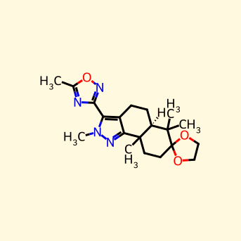 Cc1nc(-c2c3c(nn2C)C2(C)CCC4(OCCO4)C(C)(C)[C@@H]2CC3)no1